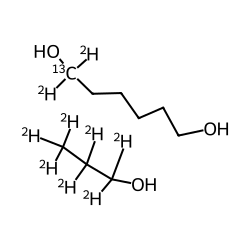 [2H]C([2H])([2H])C([2H])([2H])C([2H])([2H])O.[2H][13C]([2H])(O)CCCCCO